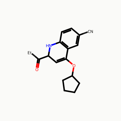 CCC(=O)C1C=C(OC2CCCC2)c2cc(C#N)ccc2N1